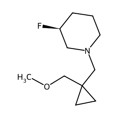 COCC1(CN2CCC[C@H](F)C2)CC1